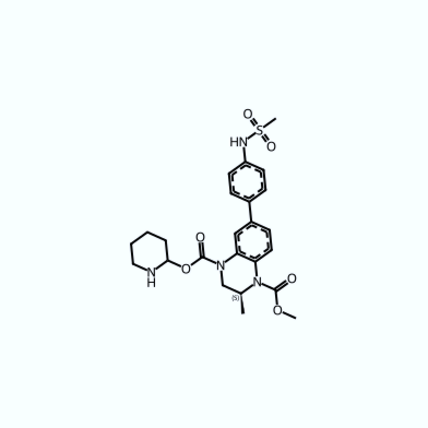 COC(=O)N1c2ccc(-c3ccc(NS(C)(=O)=O)cc3)cc2N(C(=O)OC2CCCCN2)C[C@@H]1C